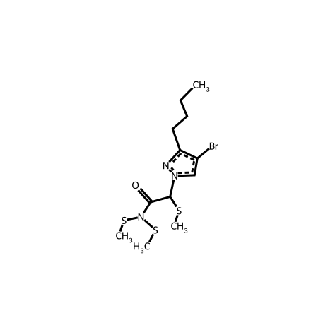 CCCCc1nn(C(SC)C(=O)N(SC)SC)cc1Br